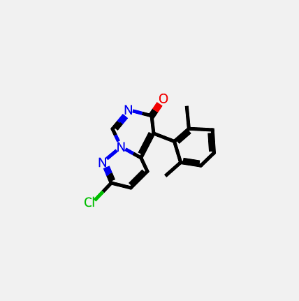 Cc1cccc(C)c1-c1c(=O)ncn2nc(Cl)ccc12